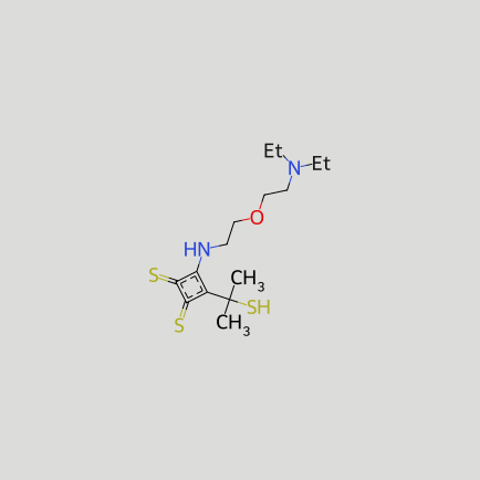 CCN(CC)CCOCCNc1c(C(C)(C)S)c(=S)c1=S